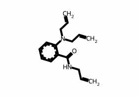 C=CCNC(=O)c1ccccc1N(CC=C)CC=C